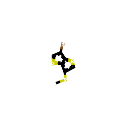 CSc1csc2c(Br)csc12